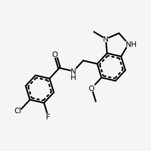 COc1ccc2c(c1CNC(=O)c1ccc(Cl)c(F)c1)N(C)CN2